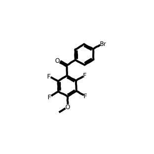 COc1c(F)c(F)c(C(=O)c2ccc(Br)cc2)c(F)c1F